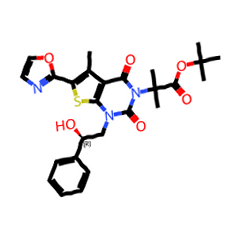 Cc1c(-c2ncco2)sc2c1c(=O)n(C(C)(C)C(=O)OC(C)(C)C)c(=O)n2C[C@H](O)c1ccccc1